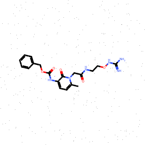 Cc1ccc(NC(=O)OCc2ccccc2)c(=O)n1CC(=O)NCCONC(=N)N